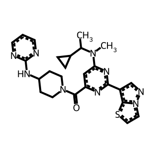 CC(C1CC1)N(C)c1cc(C(=O)N2CCC(Nc3ncccn3)CC2)nc(-c2cnn3ccsc23)n1